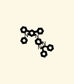 c1ccc(-c2nc3ccc(-n4c5ccccc5c5cc6c7ccccc7n(-c7ccccc7)c6cc54)cc3nc2-c2ccccc2)cc1